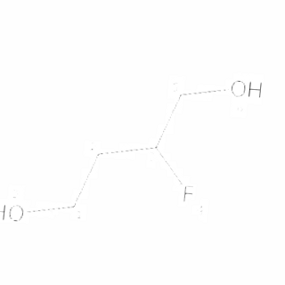 OCCC(F)CO